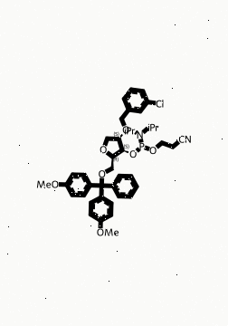 COc1ccc(C(OC[C@H]2OC[C@H](OCc3cccc(Cl)c3)[C@@H]2OP(OCCC#N)N(C(C)C)C(C)C)(c2ccccc2)c2ccc(OC)cc2)cc1